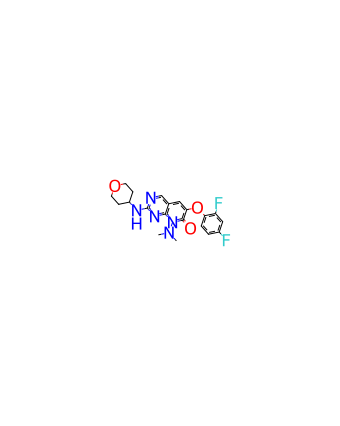 CN(C)n1c(=O)c(Oc2ccc(F)cc2F)cc2cnc(NC3CCOCC3)nc21